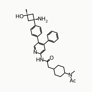 CC(=O)N(C)C1CCC(CC(=O)Nc2cc(-c3ccccc3)c(-c3ccc([C@]4(N)C[C@](C)(O)C4)cc3)cn2)CC1